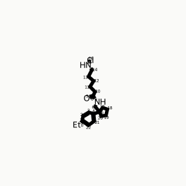 CCc1ccc(C2(CNC(=O)CCCCCNCl)CCCC2)cc1